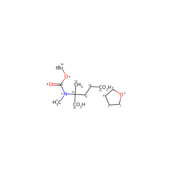 C1CCOC1.CN(C(=O)OC(C)(C)C)C(C)(CCC(=O)O)C(=O)O